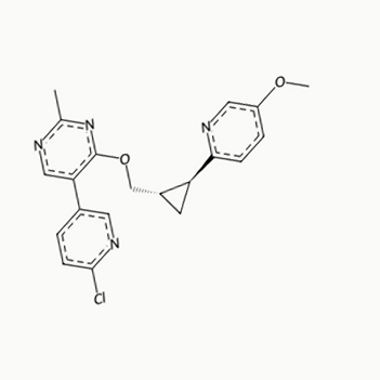 COc1ccc([C@H]2C[C@@H]2COc2nc(C)ncc2-c2ccc(Cl)nc2)nc1